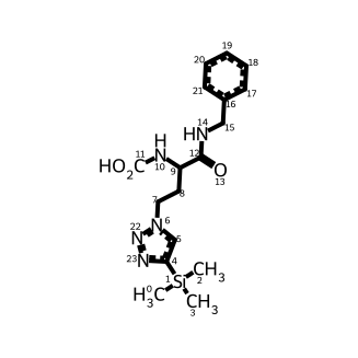 C[Si](C)(C)c1cn(CCC(NC(=O)O)C(=O)NCc2ccccc2)nn1